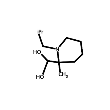 CC(C)CN1CCCCC1(C)C(O)O